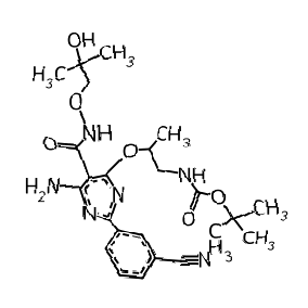 CC(CNC(=O)OC(C)(C)C)Oc1nc(-c2cccc(C#N)c2)nc(N)c1C(=O)NOCC(C)(C)O